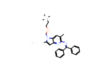 CCOC(=O)c1cc2nc(N=C(c3ccccc3)c3ccccc3)c(C)cc2n1COCC[Si](C)(C)C